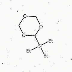 CC[Si](CC)(CC)C1OCOCO1